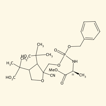 COC(=O)[C@H](C)NP(=O)(OCc1ccccc1)OCC1(C#N)OCC(C(C)(C)C(=O)O)C1C(C)(C)C(=O)O